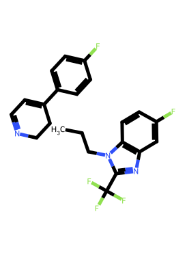 CCCn1c(C(F)(F)F)nc2cc(F)ccc21.Fc1ccc(C2=CC=NCC2)cc1